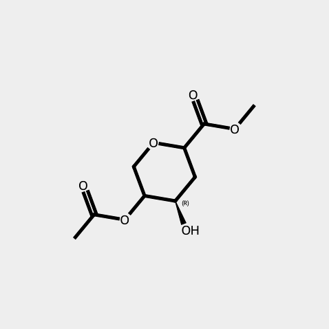 COC(=O)C1C[C@@H](O)C(OC(C)=O)CO1